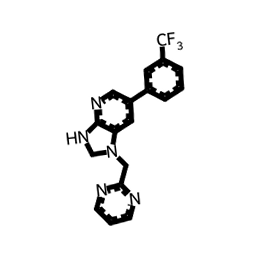 FC(F)(F)c1cccc(-c2cnc3c(c2)N(Cc2ncccn2)CN3)c1